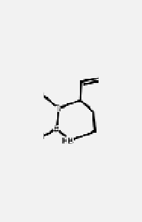 C=CC1CCBB(I)B1I